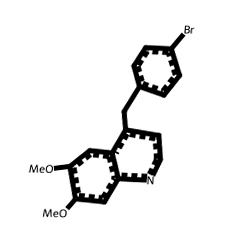 COc1cc2nccc(Cc3ccc(Br)cc3)c2cc1OC